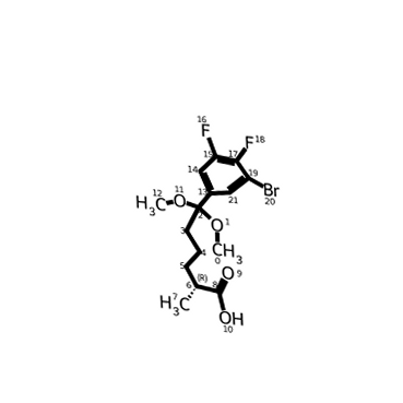 COC(CCC[C@@H](C)C(=O)O)(OC)c1cc(F)c(F)c(Br)c1